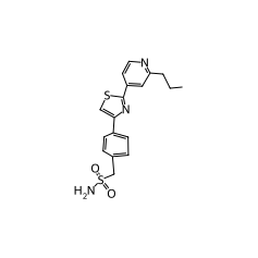 CCCc1cc(-c2nc(-c3ccc(CS(N)(=O)=O)cc3)cs2)ccn1